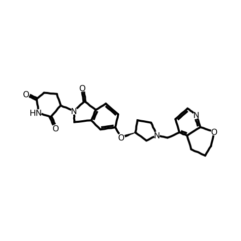 O=C1CCC(N2Cc3cc(O[C@H]4CCN(Cc5ccnc6c5CCCO6)C4)ccc3C2=O)C(=O)N1